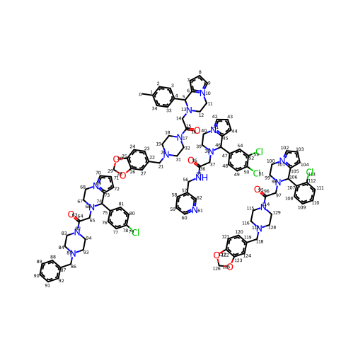 Cc1ccc(C2c3cccn3CCN2CC(=O)N2CCN(Cc3ccc4c(c3)OCO4)CC2)cc1.O=C(CN1CCn2cccc2C1c1ccc(Cl)c(Cl)c1)NCc1cccnc1.O=C(CN1CCn2cccc2C1c1ccc(Cl)cc1)N1CCN(Cc2ccccc2)CC1.O=C(CN1CCn2cccc2C1c1ccccc1Cl)N1CCN(Cc2ccc3c(c2)OCO3)CC1